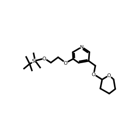 CC(C)(C)[Si](C)(C)OCCOc1cncc(COC2CCCCO2)c1